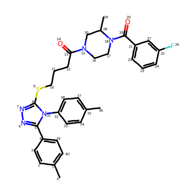 Cc1ccc(-c2nnc(SCCCC(=O)N3CCN(C(=O)c4cccc(F)c4)C(C)C3)n2-c2ccc(C)cc2)cc1